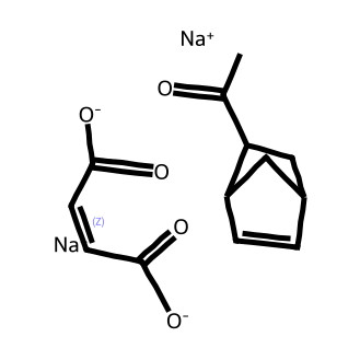 CC(=O)C1CC2C=CC1C2.O=C([O-])/C=C\C(=O)[O-].[Na+].[Na+]